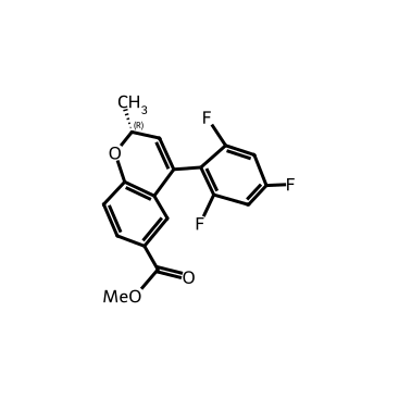 COC(=O)c1ccc2c(c1)C(c1c(F)cc(F)cc1F)=C[C@@H](C)O2